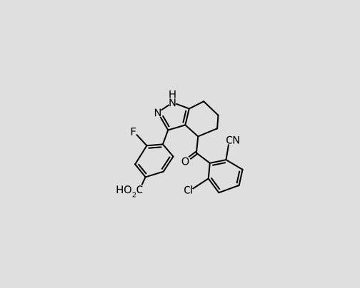 N#Cc1cccc(Cl)c1C(=O)C1CCCc2[nH]nc(-c3ccc(C(=O)O)cc3F)c21